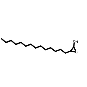 CCCCCCCCCCCCCCC1OC1O